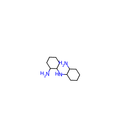 NC1CCCCC1NC1CCCCC1N